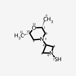 C[C@@H]1CN(C2CN(S)C2)C[C@H](C)O1